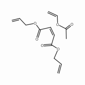 C=CCOC(=O)/C=C\C(=O)OCC=C.C=COC(C)=O